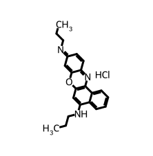 CCCN=c1ccc2nc3c(cc(NCCC)c4ccccc43)oc-2c1.Cl